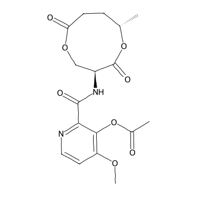 COc1ccnc(C(=O)N[C@H]2COC(=O)CC[C@H](C)OC2=O)c1OC(C)=O